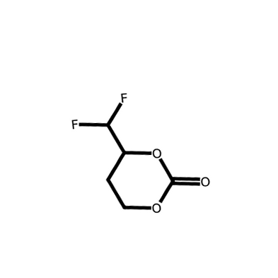 O=C1OCCC(C(F)F)O1